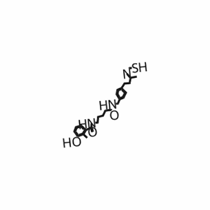 Cc1c(O)cccc1C(=O)NCCCCC(=O)NCc1ccc(CCC(C)/N=C\S)cc1